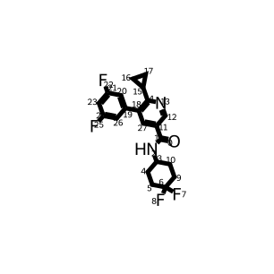 O=C(NC1CCC(F)(F)CC1)c1cnc(C2CC2)c(-c2cc(F)cc(F)c2)c1